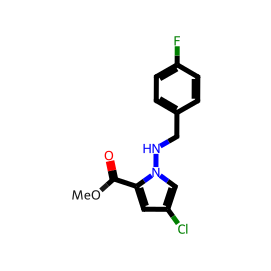 COC(=O)c1cc(Cl)cn1NCc1ccc(F)cc1